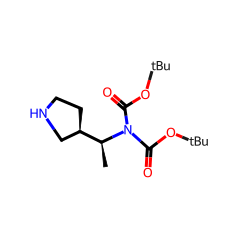 C[C@@H]([C@@H]1CCNC1)N(C(=O)OC(C)(C)C)C(=O)OC(C)(C)C